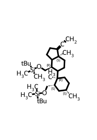 C=C=C1CCC2[C@H](CO[Si](C)(C)C(C)(C)C)C([C@@]3(C)CC[C@H](C)C[C@@H]3CO[Si](C)(C)C(C)(C)C)CC[C@]12C